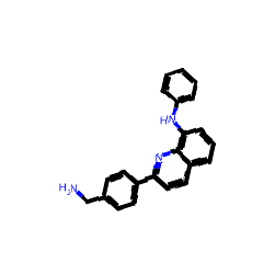 NCc1ccc(-c2ccc3cccc(Nc4ccccc4)c3n2)cc1